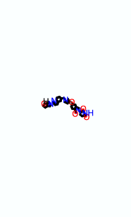 O=C1CCC(N2Cc3cc(O[C@H]4CCN(Cc5ccc6nc(N7CC8CCO[C@H]8C7)ccc6c5)C4)ccc3C2=O)C(=O)N1